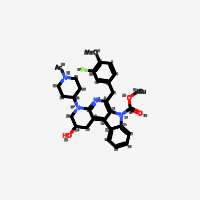 COc1ccc(Cc2nc3c(c4c5ccccc5n(C(=O)OC(C)(C)C)c24)CC(O)CN3C2CCN(C(C)=O)CC2)cc1F